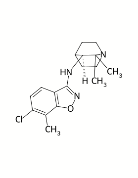 Cc1c(Cl)ccc2c(N[C@H]3C4CCN(CC4)C3(C)C)noc12